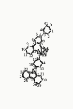 c1ccc(-c2ccc3c4ccccc4n4c(-c5ccc(-n6c7ccccc7c7ccccc76)cc5)nnc4c3c2)cc1